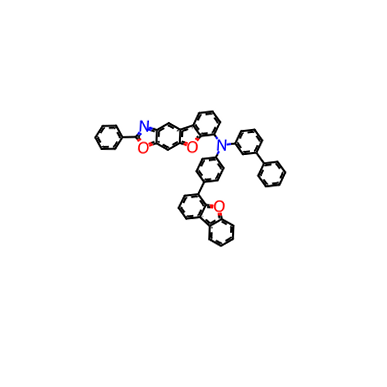 c1ccc(-c2cccc(N(c3ccc(-c4cccc5c4oc4ccccc45)cc3)c3cccc4c3oc3cc5oc(-c6ccccc6)nc5cc34)c2)cc1